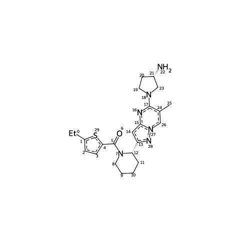 CCc1ccc(C(=O)N2CCCC[C@H]2c2cc3nc(N4CC[C@H](N)C4)c(C)cn3n2)s1